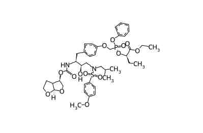 CCOC(=O)[C@@H](CC)OP(=O)(COc1ccc(C[C@H](NC(=O)O[C@H]2CO[C@H]3OCCC32)[C@H](O)CN(CC(C)C)S(=O)(=O)c2ccc(OC)cc2)cc1)Oc1ccccc1